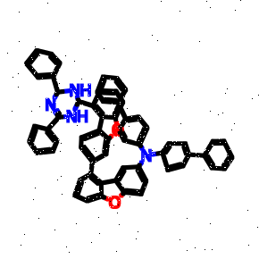 c1ccc(C2=NC(c3ccccc3)NC(c3cccc4oc5cc(-c6cccc7oc8ccc(N(c9ccc(-c%10ccccc%10)cc9)c9ccc(-c%10ccccc%10)cc9)cc8c67)ccc5c34)N2)cc1